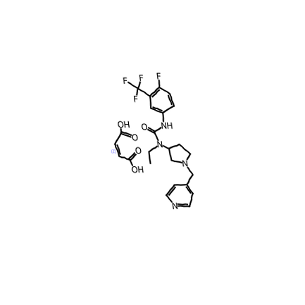 CCN(C(=O)Nc1ccc(F)c(C(F)(F)F)c1)C1CCN(Cc2ccncc2)C1.O=C(O)/C=C\C(=O)O